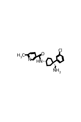 Cc1ccc(C(=O)N[C@H]2CC[C@](CN)(c3cccc(Cl)c3)CC2)cn1